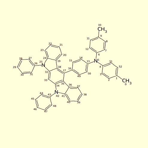 Cc1ccc(N(c2ccc(C)cc2)c2ccc(-c3c4c5ccccc5n(-c5ccccc5)c4cc4c3c3ccccc3n4-c3ccccc3)cc2)cc1